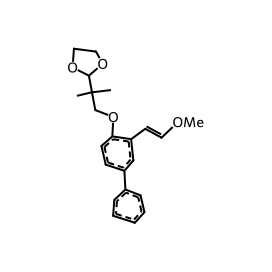 CO/C=C/c1cc(-c2ccccc2)ccc1OCC(C)(C)C1OCCO1